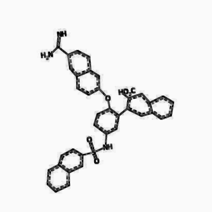 N=C(N)c1ccc2cc(Oc3ccc(NS(=O)(=O)c4ccc5ccccc5c4)cc3-c3cc4ccccc4cc3C(=O)O)ccc2c1